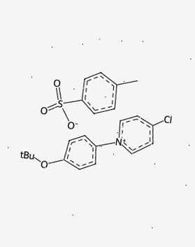 CC(C)(C)Oc1ccc(-[n+]2ccc(Cl)cc2)cc1.Cc1ccc(S(=O)(=O)[O-])cc1